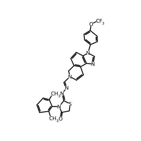 Cc1cccc(C)c1N1C(=O)CS/C1=N\N=C\N1C=Cc2c(ccc3c2ncn3-c2ccc(OC(F)(F)F)cc2)C1